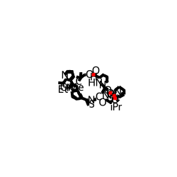 CCn1c(-c2cccnc2[C@H](C)OC)c2c3cc(ccc31)-c1csc(n1)C[C@H](NC(=O)[C@H](C(C)C)N(C)C(=O)N1C3CC1CS(=O)(=O)C3)C(=O)N1CCC[C@H](N1)C(=O)OCC(C)(C)C2